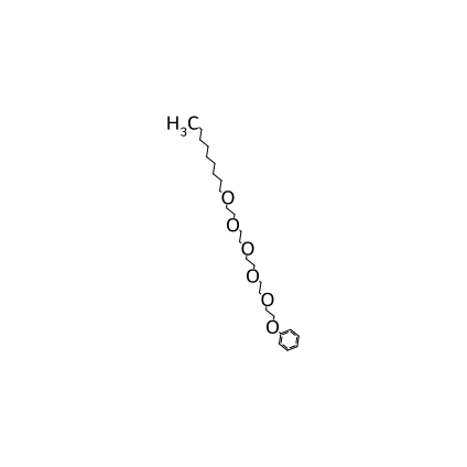 CCCCCCCCCOCCOCCOCCOCCOCCOc1ccccc1